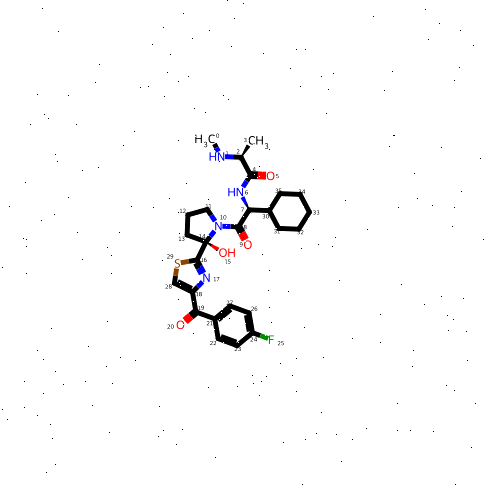 CN[C@@H](C)C(=O)N[C@H](C(=O)N1CCC[C@@]1(O)c1nc(C(=O)c2ccc(F)cc2)cs1)C1CCCCC1